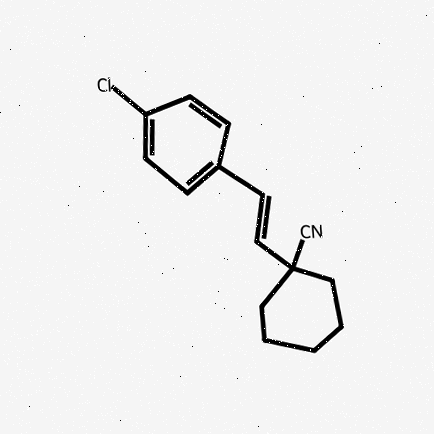 N#CC1(C=Cc2ccc(Cl)cc2)CCCCC1